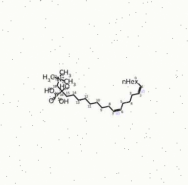 CCCCCC/C=C\CCC/C=C\CCCCCCCCC(O)(C[N+](C)(C)C)P(=O)(O)O